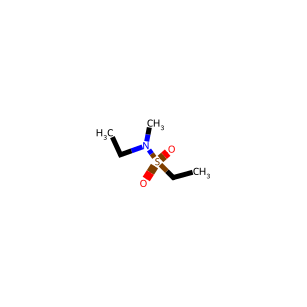 C[CH]S(=O)(=O)N(C)CC